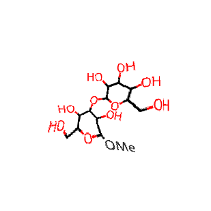 COC1OC(CO)C(O)C(OC2OC(CO)C(O)C(O)C2O)C1O